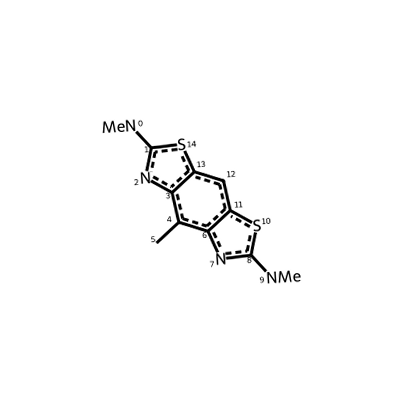 CNc1nc2c(C)c3nc(NC)sc3cc2s1